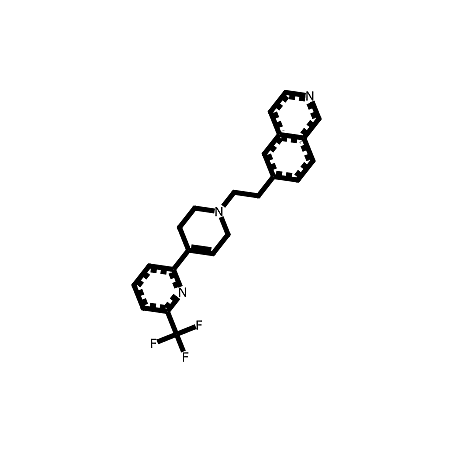 FC(F)(F)c1cccc(C2=CCN(CCc3ccc4cnccc4c3)CC2)n1